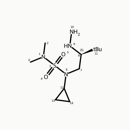 CN(C)S(=O)(=O)N(C[C@@H](NN)C(C)(C)C)C1CC1